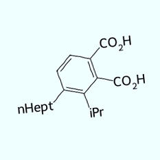 CCCCCCCc1ccc(C(=O)O)c(C(=O)O)c1C(C)C